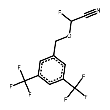 N#CC(F)OCc1cc(C(F)(F)F)cc(C(F)(F)F)c1